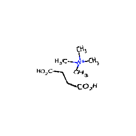 C[N+](C)(C)C.O=C(O)CCC(=O)O